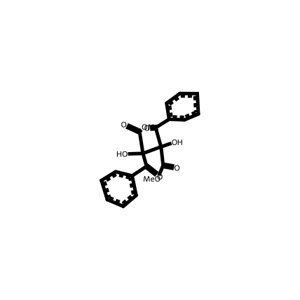 COC(=O)C(O)(C(=O)c1ccccc1)C(O)(C(=O)OC)C(=O)c1ccccc1